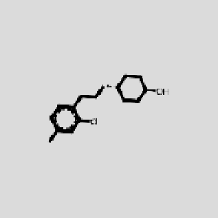 Cc1ccc(CCC[C@H]2CC[C@H](O)CC2)c(Cl)c1